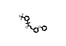 CC(C)(C(=O)C=Cc1cccc(Oc2ccccc2)c1)c1cccc(C(F)(F)F)c1